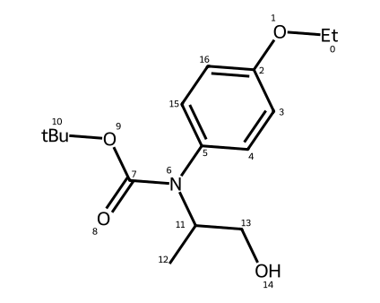 CCOc1ccc(N(C(=O)OC(C)(C)C)C(C)CO)cc1